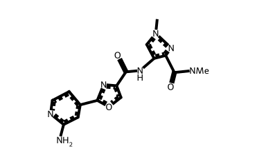 CNC(=O)c1nn(C)cc1NC(=O)c1coc(-c2ccnc(N)c2)n1